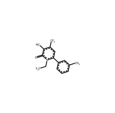 Cc1cccc(-c2cc(C(F)(F)F)c(C#N)c(=O)n2CC(F)(F)F)c1